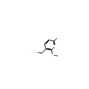 COCc1ccc(C)nc1BC(C)C